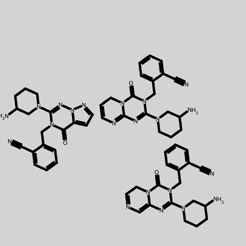 N#Cc1ccccc1CN1C(=O)N2CC=CN=C2N=C1N1CCCC(N)C1.N#Cc1ccccc1CN1C(=O)N2CC=NC=C2N=C1N1CCCC(N)C1.N#Cc1ccccc1Cn1c(N2CCCC(N)C2)nn2nccc2c1=O